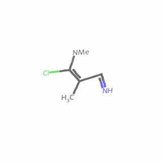 CN/C(Cl)=C(/C)C=N